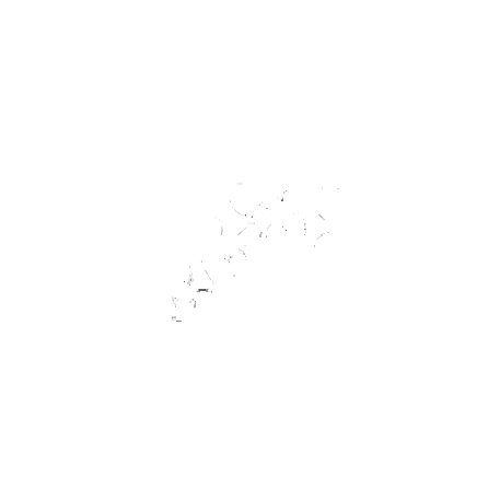 CC(C)CC[C@]1(c2ccccc2)NC(=N)N([C@@H]2CCCc3ccc(C(=O)N4Cc5cnc(NC(=O)O)nc5C4)cc32)C1=O